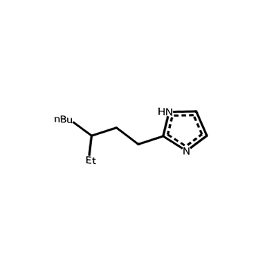 CCCCC(CC)CCc1ncc[nH]1